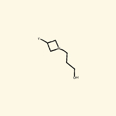 OCCCN1CC(F)C1